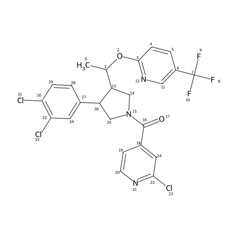 CC(Oc1ccc(C(F)(F)F)cn1)C1CN(C(=O)c2ccnc(Cl)c2)CC1c1ccc(Cl)c(Cl)c1